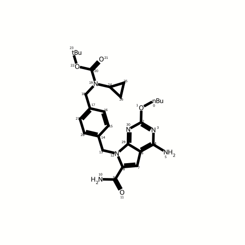 CCCCOc1nc(N)c2cc(C(N)=O)n(Cc3ccc(CN(C(=O)OC(C)(C)C)C4CC4)cc3)c2n1